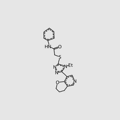 CCn1c(SCC(=O)Nc2ccccc2)nnc1-c1cncc2c1OCCC2